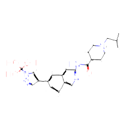 CC(C)CN1CCC(C(=O)Nc2cc3cc(-c4cnn(C(O)(O)O)c4)ccc3cn2)CC1